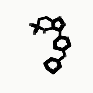 O=S1(=O)CCn2nnc(-c3ccc(Oc4ccccc4)cn3)c2N1